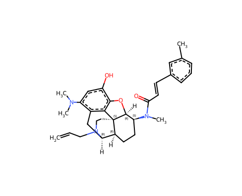 C=CCN1CC[C@]23c4c5c(N(C)C)cc(O)c4O[C@H]2[C@@H](N(C)C(=O)C=Cc2cccc(C)c2)CC[C@H]3[C@H]1C5